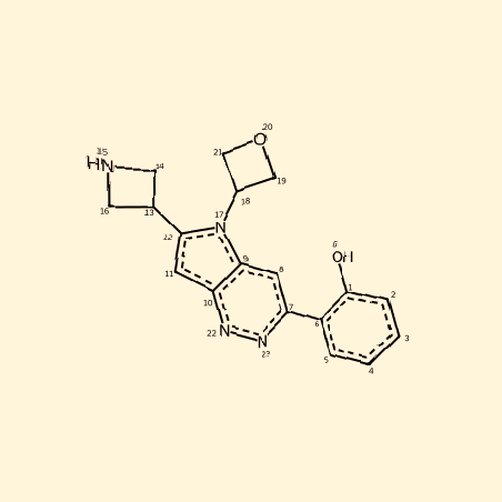 Oc1ccccc1-c1cc2c(cc(C3CNC3)n2C2COC2)nn1